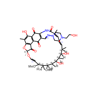 CO[C@H]1[C@H](C)[C@H](O)[C@H](C)[C@@H](O)[C@@H](C)/C=C/C=C(/C)C(=O)NC2=C(/C=N/N3CCN(CCO)CC3)C(=O)c3c(c(O)c(C)c4c3C(=O)[C@@](C)(O/C=C/[C@H](OC)[C@H]1C)O4)C2=O